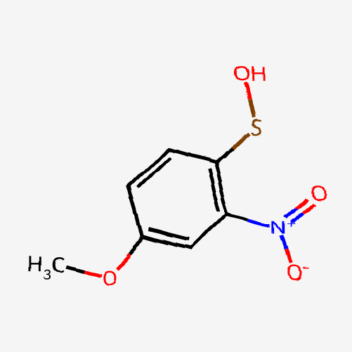 COc1ccc(SO)c([N+](=O)[O-])c1